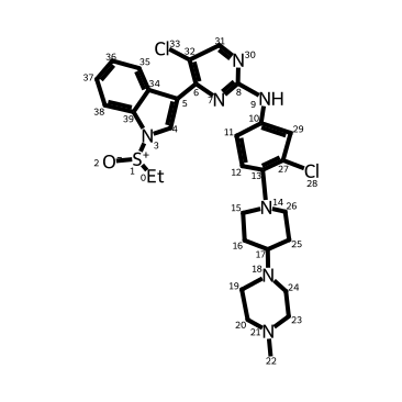 CC[S+]([O-])n1cc(-c2nc(Nc3ccc(N4CCC(N5CCN(C)CC5)CC4)c(Cl)c3)ncc2Cl)c2ccccc21